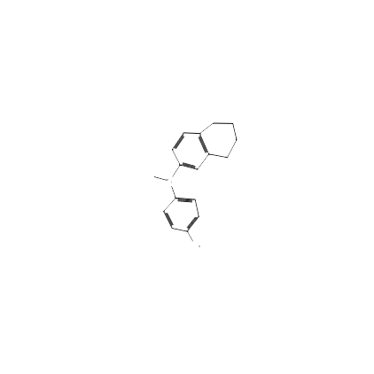 CN(c1ccc(O)cc1)c1ccc2c(c1)CCCC2